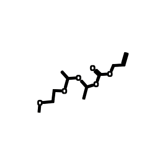 C=CCOC(=O)OC(C)OC(C)OCCOC